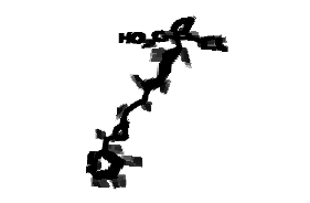 CCC1OC1(CCCCCCOCc1cccs1)C(=O)O